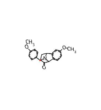 COc1ccc(CN2C3CCC(=O)C2c2ccc(OC)cc23)cc1